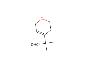 CC(C)(C=O)C1=CCOCC1